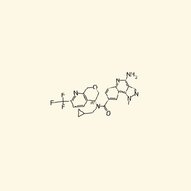 Cn1ncc2c(N)nc3ccc(C(=O)N(CC4CC4)[C@H]4COCc5nc(C(F)(F)F)ccc54)cc3c21